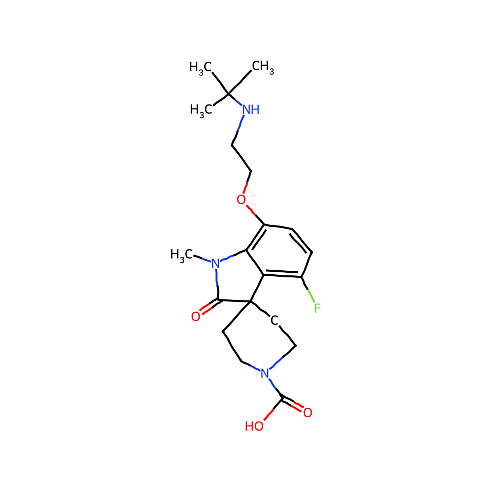 CN1C(=O)C2(CCN(C(=O)O)CC2)c2c(F)ccc(OCCNC(C)(C)C)c21